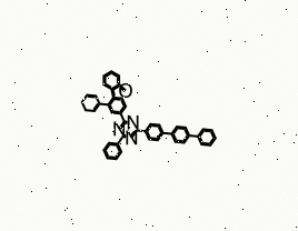 C1=CC(c2cc(-c3nc(-c4ccccc4)nc(-c4ccc(-c5ccc(-c6ccccc6)cc5)cc4)n3)cc3oc4ccccc4c23)=CCC1